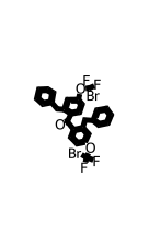 O=C(c1ccc(OC(F)(F)Br)cc1Cc1ccccc1)c1ccc(OC(F)(F)Br)cc1Cc1ccccc1